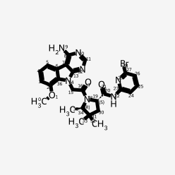 COc1cccc2c3c(N)ncnc3n(CC(=O)N3[C@H](C(=O)Nc4cccc(Br)n4)CC(C)(C)[C@H]3C)c12